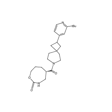 CC(C)(C)c1cc(C2CC3(CCN(C(=O)[C@@H]4CCCOC(=O)NC4)CC3)C2)ccn1